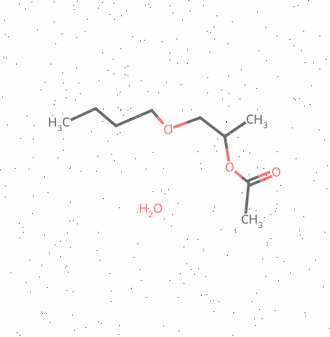 CCCCOCC(C)OC(C)=O.O